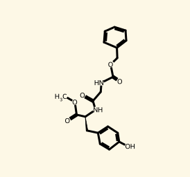 COC(=O)[C@H](Cc1ccc(O)cc1)NC(=O)CNC(=O)OCc1ccccc1